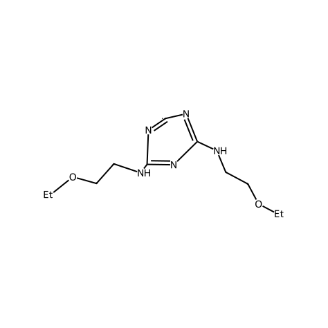 CCOCCNc1n[c]nc(NCCOCC)n1